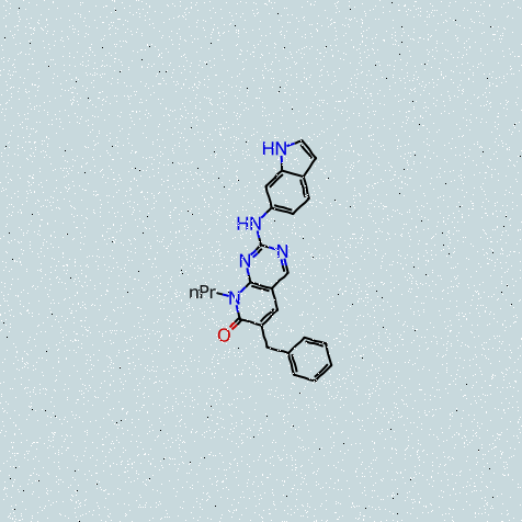 CCCn1c(=O)c(Cc2ccccc2)cc2cnc(Nc3ccc4cc[nH]c4c3)nc21